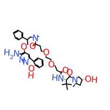 C[C@@H]1C[C@@H](O)CN1C(=O)[C@@H](NC(=O)CCOCCOCCC(=O)N(C)CC(COc1cc(-c2ccccc2O)nnc1N)c1ccccc1)C(C)(C)C